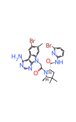 Cc1cc2c(cc1Br)c1c(N)ncnc1n2CC(=O)N1[C@H](C(=O)Nc2cccc(Br)n2)CC(C)(C)[C@H]1C